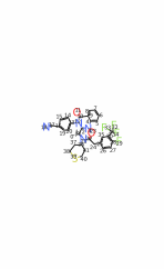 C[C@H](c1nc2ccccc2c(=O)n1-c1ccc(C#N)cc1)N(C(=O)Cc1ccc(F)c(C(F)(F)F)c1)C1CCSCC1